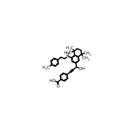 Cc1ccc(CCNc2cc(C(O)C#Cc3ccc(C(=O)O)cc3)cc3c2C(C)(C)CCC3(C)C)cc1